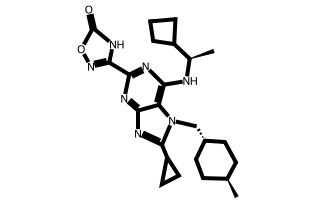 C[C@@H](Nc1nc(-c2noc(=O)[nH]2)nc2nc(C3CC3)n(C[C@H]3CC[C@H](C)CC3)c12)C1CCC1